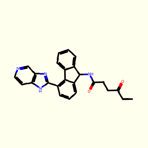 CCC(=O)CCC(=O)NC1c2ccccc2-c2c(-c3nc4cnccc4[nH]3)cccc21